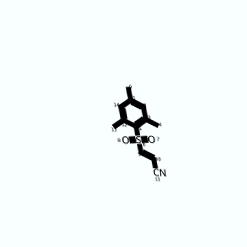 Cc1cc(C)c(S(=O)(=O)C=CC#N)c(C)c1